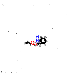 C=CCOOc1cc2ccccc2[nH]1